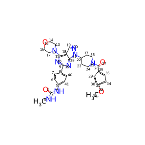 CNC(=O)Nc1ccc(-c2nc(N3CCOCC3)c3cnn(C4CCN(C(=O)c5ccc(OC)cc5)CC4)c3n2)cc1